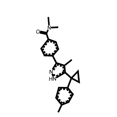 Cc1ccc(C2(c3[nH]nc(-c4ccc(C(=O)N(C)C)cc4)c3C)CC2)cc1